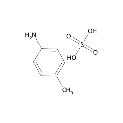 Cc1ccc(N)cc1.O=S(=O)(O)O